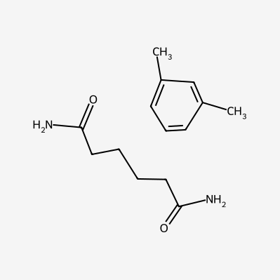 Cc1cccc(C)c1.NC(=O)CCCCC(N)=O